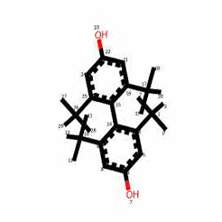 CC(C)(C)c1cc(O)cc(C(C)(C)C)c1-c1c(C(C)(C)C)cc(O)cc1C(C)(C)C